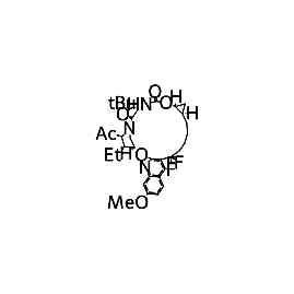 CCC1[C@@H]2CN(C(=O)[C@H](C(C)(C)C)NC(=O)O[C@@H]3C[C@H]3CCCCC(F)(F)c3c(nc4cc(OC)ccc4c3F)O2)[C@@H]1C(C)=O